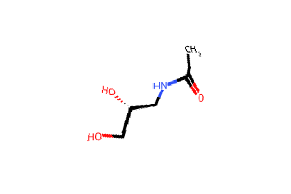 CC(=O)NC[C@@H](O)CO